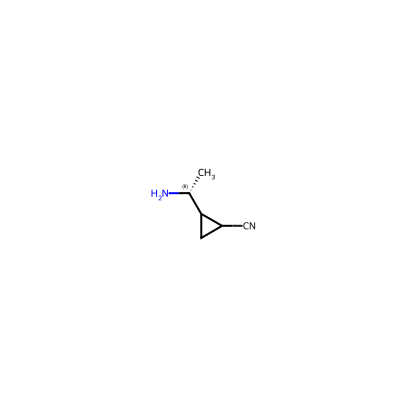 C[C@@H](N)C1CC1C#N